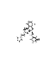 O=C(CCC1CCCC1)Nn1c(SCc2cccc(F)c2)nc2ccccc2c1=O